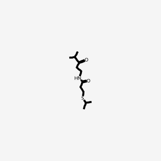 CC(C)SCCC(=O)NCCC(=O)C(C)C